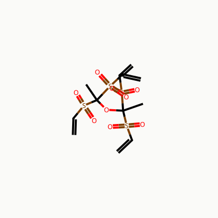 C=CS(=O)(=O)C(C)(OC(C)(S(=O)(=O)C=C)S(=O)(=O)C=C)S(=O)(=O)C=C